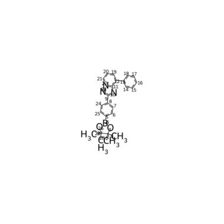 CC1(C)OB(c2ccc(-c3nc4c(-c5ccccc5)cccn4n3)cc2)OC1(C)C